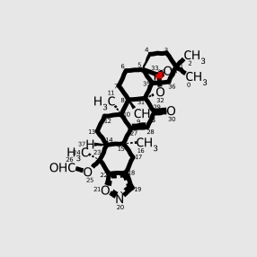 CC1(C)CC[C@@]23CC[C@@]4(C)[C@]5(C)CC[C@@H]6[C@](C)(Cc7cnoc7[C@@]6(C)OC=O)C5=CC(=O)[C@]4(OC2=O)[C@@H]3C1